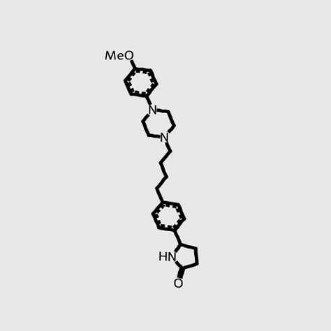 COc1ccc(N2CCN(CCCCc3ccc(C4CCC(=O)N4)cc3)CC2)cc1